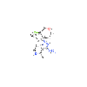 Cc1nccc2c1c(N)nn2[C@]1(CC#N)CCOC[C@@H]1F